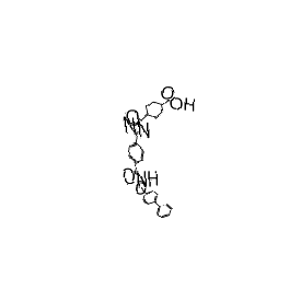 O=C(NOc1ccc(-c2ccccc2)cc1)c1ccc(-c2noc(C3CCC(C(=O)O)CC3)n2)cc1